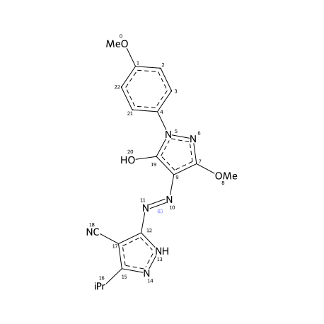 COc1ccc(-n2nc(OC)c(/N=N/c3[nH]nc(C(C)C)c3C#N)c2O)cc1